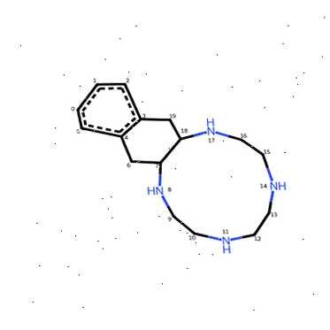 c1ccc2c(c1)CC1NCCNCCNCCNC1C2